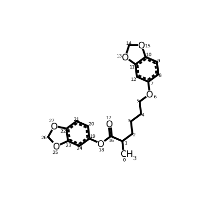 CC(CCCCOc1ccc2c(c1)OCO2)C(=O)Oc1ccc2c(c1)OCO2